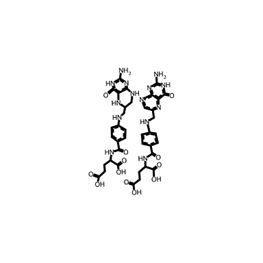 Nc1nc2c(c(=O)[nH]1)NC(CNc1ccc(C(=O)NC(CCC(=O)O)C(=O)O)cc1)CN2.Nc1nc2ncc(CNc3ccc(C(=O)NC(CCC(=O)O)C(=O)O)cc3)nc2c(=O)[nH]1